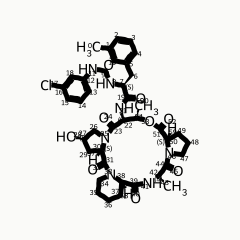 Cc1cccc(C[C@H](NC(=O)Nc2cccc(Cl)c2)C(=O)N[C@@H]2C(=O)N3C[C@H](O)C[C@H]3C(=O)N3CCCC[C@H]3C(=O)N[C@@H](C)C(=O)N3CCC[C@H]3C(=O)O[C@H]2C)c1